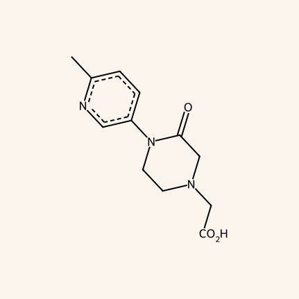 Cc1ccc(N2CCN(CC(=O)O)CC2=O)cn1